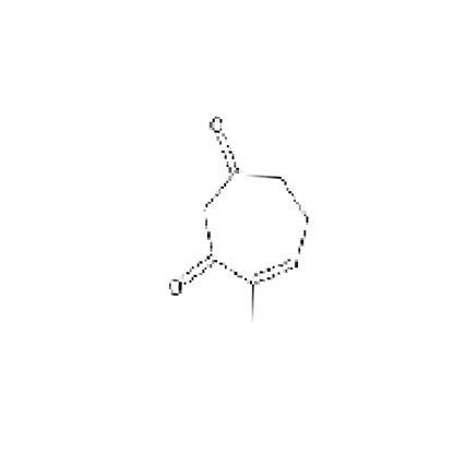 CC1=CCCC(=O)CC1=O